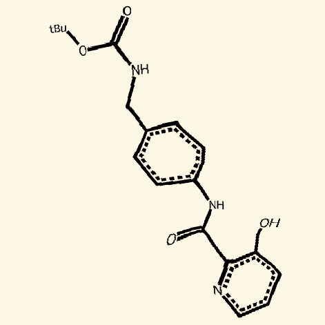 CC(C)(C)OC(=O)NCc1ccc(NC(=O)c2ncccc2O)cc1